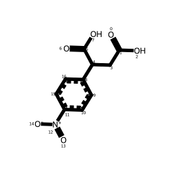 O=C(O)CC(C(=O)O)c1ccc([N+](=O)[O-])cc1